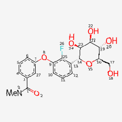 CNC(=O)c1cccc(Oc2cccc([C@H]3O[C@H](CO)[C@@H](O)[C@H](O)[C@@H]3O)c2F)c1